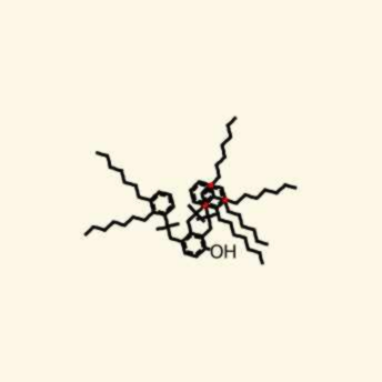 CCCCCCCc1cccc(C(C)(C)Cc2ccc(O)c(CC(C)(C)c3cccc(CCCCCCC)c3CCCCCCC)c2CC(C)(C)c2cccc(CCCCCCC)c2CCCCCCC)c1CCCCCCC